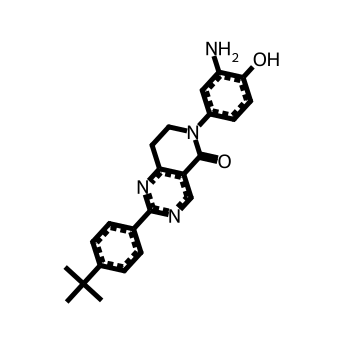 CC(C)(C)c1ccc(-c2ncc3c(n2)CCN(c2ccc(O)c(N)c2)C3=O)cc1